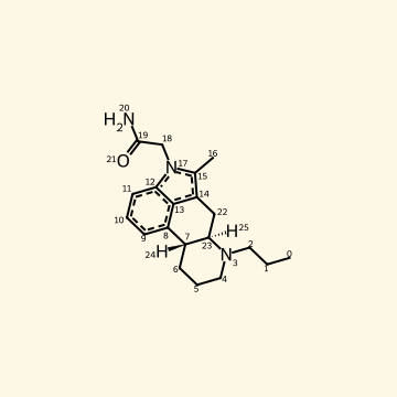 CCCN1CCC[C@@H]2c3cccc4c3c(c(C)n4CC(N)=O)C[C@H]21